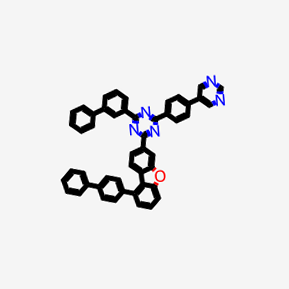 c1ccc(-c2ccc(-c3cccc4oc5cc(-c6nc(-c7ccc(-c8cncnc8)cc7)nc(-c7cccc(-c8ccccc8)c7)n6)ccc5c34)cc2)cc1